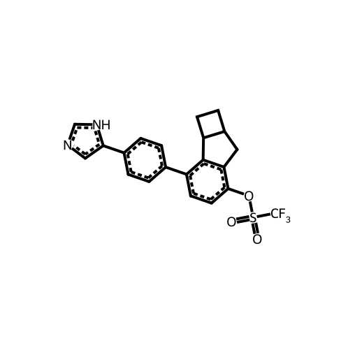 O=S(=O)(Oc1ccc(-c2ccc(-c3cnc[nH]3)cc2)c2c1CC1CCC21)C(F)(F)F